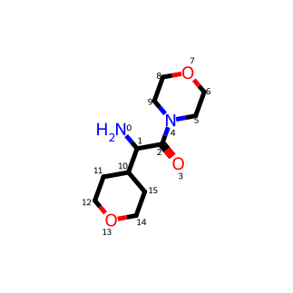 NC(C(=O)N1CCOCC1)C1CCOCC1